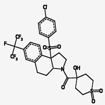 O=C(N1CCC2(S(=O)(=O)c3ccc(Cl)cc3)c3ccc(C(F)(C(F)(F)F)C(F)(F)F)cc3CCC12)C1(O)CCS(=O)(=O)CC1